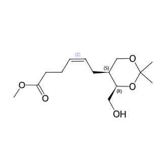 COC(=O)CC/C=C\C[C@H]1COC(C)(C)O[C@H]1CO